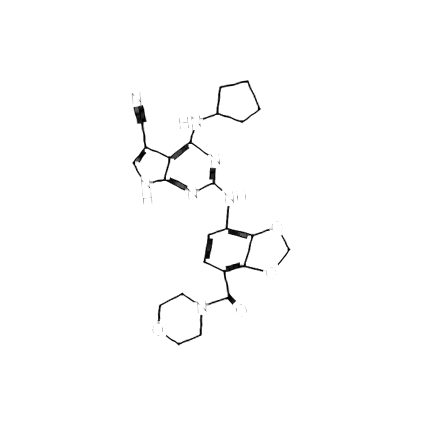 N#Cc1c[nH]c2nc(Nc3ccc(C(=O)N4CCOCC4)c4c3OCO4)nc(NC3CCCC3)c12